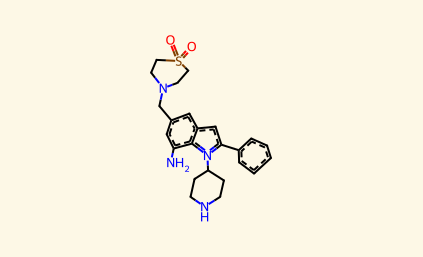 Nc1cc(CN2CCS(=O)(=O)CC2)cc2cc(-c3ccccc3)n(C3CCNCC3)c12